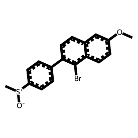 COc1ccc2c(Br)c(-c3ccc([S+](C)[O-])cc3)ccc2c1